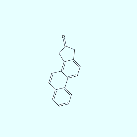 O=C1Cc2ccc3c(ccc4ccccc43)c2C1